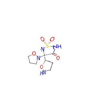 O=C1NS(=O)(=O)[N]C1(C1CCNO1)N1CCCO1